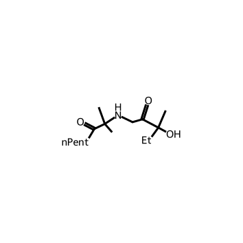 CCCCCC(=O)C(C)(C)NCC(=O)C(C)(O)CC